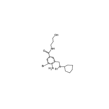 CCN(Cc1cc(C(=O)NCCCO)cc(Br)c1N)C1CCCCC1